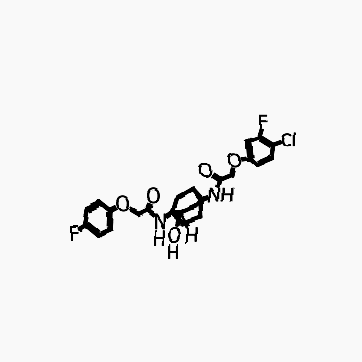 O=C(COc1ccc(Cl)c(F)c1)NC12CCC(NC(=O)COc3ccc(F)cc3)(CC1)[C@@H](O)C2